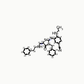 CCNc1ccc(C#N)cc1/N=C1/S/C(=C/NCCc2ccccc2)C(=O)N1Cc1ccccc1